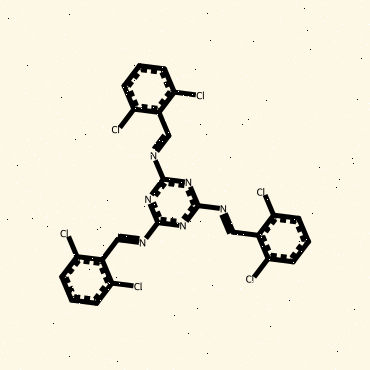 Clc1cccc(Cl)c1C=Nc1nc(N=Cc2c(Cl)cccc2Cl)nc(N=Cc2c(Cl)cccc2Cl)n1